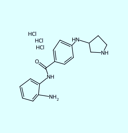 Cl.Cl.Cl.Nc1ccccc1NC(=O)c1ccc(NC2CCNC2)cc1